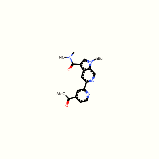 CCCCn1cc(C(=O)N(C)C#N)c2cc(-c3cc(C(=O)OC)ccn3)ncc21